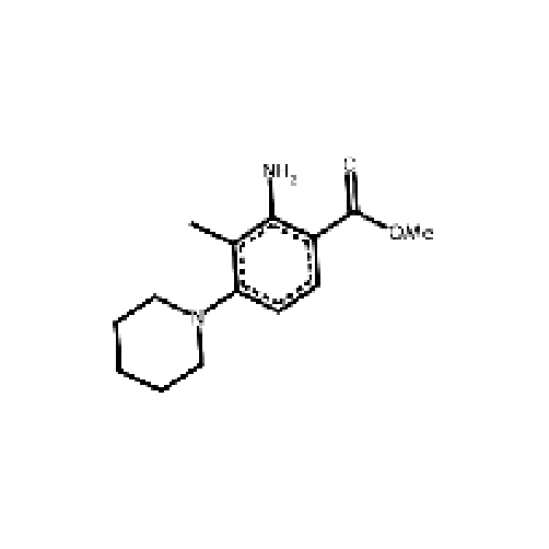 COC(=O)c1ccc(N2CCCCC2)c(C)c1N